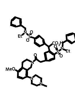 CCN(Cc1ccccc1)S(=O)(=O)c1ccc(C(C(=O)O)c2cc(CC(=O)N3CCc4c(OC)ccc(N5CCN(C)CC5)c4C3)ccc2S(=O)(=O)N(CC)Cc2ccccc2)cc1